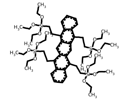 CCO[Si](CCc1c2ccccc2c(CC[Si](OCC)(OCC)OCC)c2cc3c(CC[Si](OCC)(OCC)OCC)c4ccccc4c(CC[Si](OCC)(OCC)OCC)c3cc12)(OCC)OCC